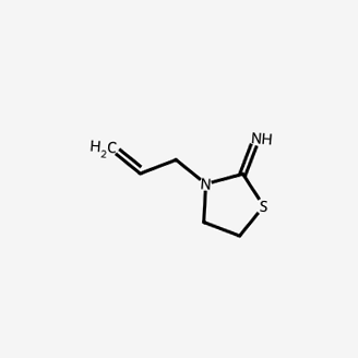 C=CCN1CCSC1=N